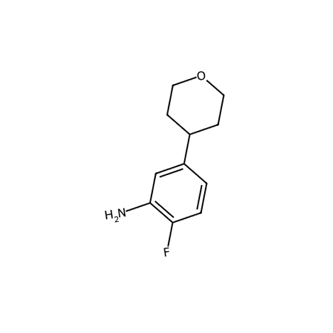 Nc1cc(C2CCOCC2)ccc1F